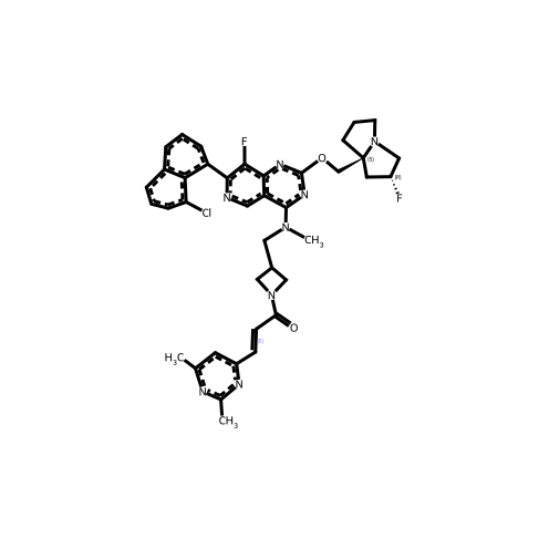 Cc1cc(/C=C/C(=O)N2CC(CN(C)c3nc(OC[C@@]45CCCN4C[C@H](F)C5)nc4c(F)c(-c5cccc6cccc(Cl)c56)ncc34)C2)nc(C)n1